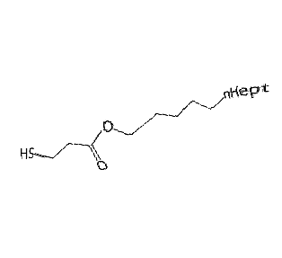 CCCCCCCCCCCCOC(=O)CCS